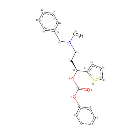 O=C(Oc1ccccc1)O[C@@H](CCN(Cc1ccccc1)C(=O)O)c1cccs1